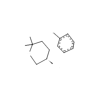 CC1(C)C[C@H](c2ccccc2Cl)[C@@H](C(=O)O)CO1